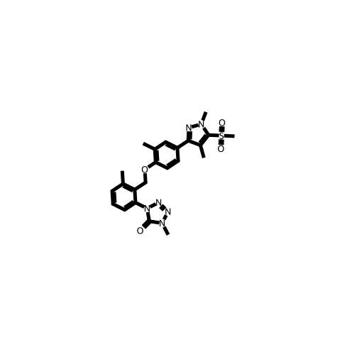 Cc1cc(-c2nn(C)c(S(C)(=O)=O)c2C)ccc1OCc1c(C)cccc1-n1nnn(C)c1=O